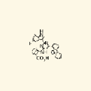 O=C(O)C1C2CCC(CC2)C1Nc1cc(-c2cccc3c2oc2ccccc23)nc(-c2c[nH]c3ncc(F)cc23)n1